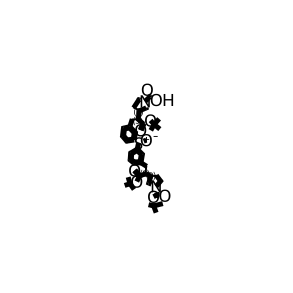 CC(C)(C)OC(=O)[C@@H](Cc1cccc([S+]([O-])c2cccc(C[C@H](C(=O)OC(C)(C)C)[C@H]3CCN(C(=O)OC(C)(C)C)C3)c2)c1)[C@H]1CCN(C(=O)O)C1